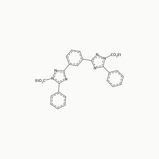 CCOC(=O)n1nc(-c2cccc(-c3nc(-c4ccccc4)n(C(=O)OCC)n3)c2)nc1-c1ccccc1